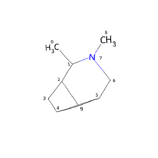 CC1C2CC3C(CN1C)C32